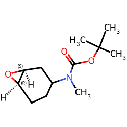 CN(C(=O)OC(C)(C)C)C1CC[C@H]2O[C@H]2C1